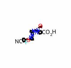 N#Cc1ccc(COc2cccc(N3CC4N(Cc5nc6ccc(C(=O)O)cc6n5CC5CCO5)C5CCC54C3)n2)c(F)c1